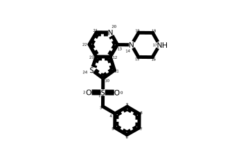 O=S(=O)(Cc1ccccc1)c1cc2c(N3CCNCC3)nccc2s1